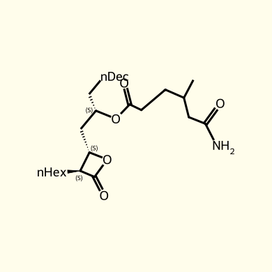 CCCCCCCCCCC[C@@H](C[C@@H]1OC(=O)[C@H]1CCCCCC)OC(=O)CCC(C)CC(N)=O